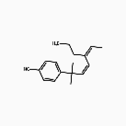 BCCC(/C=C\C(C)(C)c1ccc(C#N)cc1)=C/C